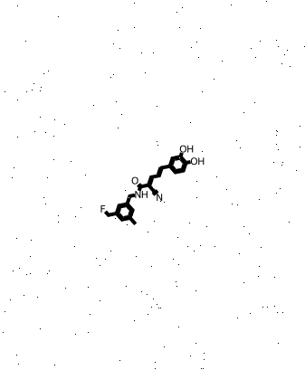 Cc1cc(CF)cc(CNC(=O)/C(C#N)=C/C=C/c2ccc(O)c(O)c2)c1